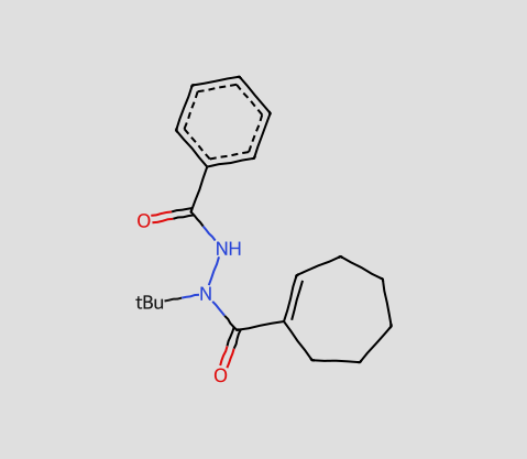 CC(C)(C)N(NC(=O)c1ccccc1)C(=O)C1=CCCCCC1